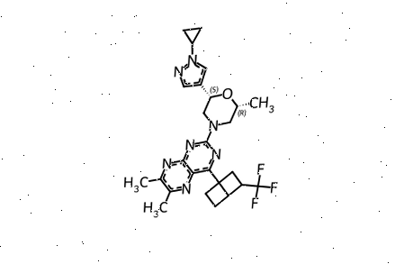 Cc1nc2nc(N3C[C@@H](C)O[C@@H](c4cnn(C5CC5)c4)C3)nc(C34CCC3C(C(F)(F)F)C4)c2nc1C